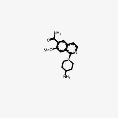 COc1cc2c(N3CCC(N)CC3)nccc2cc1C(N)=O